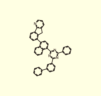 c1ccc(-c2cccc(-c3nc(-c4ccccc4)nc(-c4ccc(-c5cccc6c5Cc5cccnc5-6)c5ccccc45)n3)c2)cc1